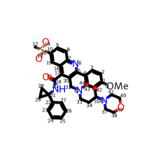 COc1ccc(-c2nc3ccc(S(C)(=O)=O)cc3c(C(=O)NC3(c4ccccc4)CC3)c2CN2CCC(N3CCOCC3)CC2)cc1